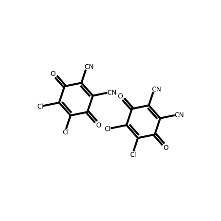 N#CC1=C(C#N)C(=O)C(Cl)=C(Cl)C1=O.N#CC1=C(C#N)C(=O)C(Cl)=C(Cl)C1=O